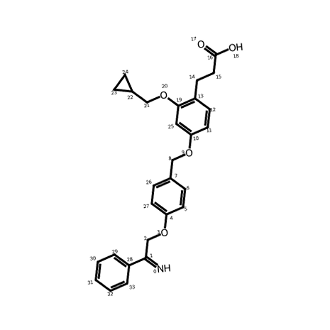 N=C(COc1ccc(COc2ccc(CCC(=O)O)c(OCC3CC3)c2)cc1)c1ccccc1